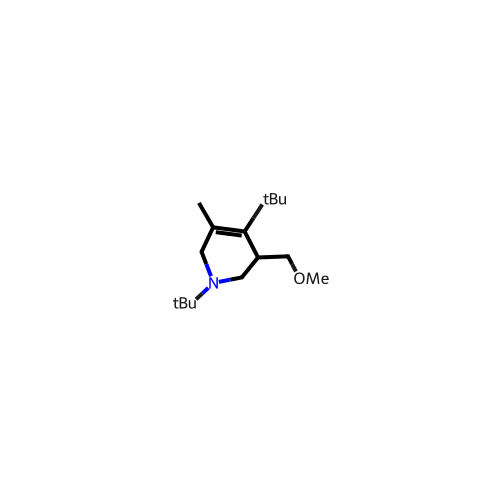 COCC1CN(C(C)(C)C)CC(C)=C1C(C)(C)C